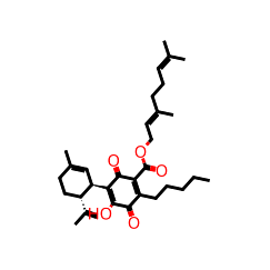 C=C(C)[C@@H]1CCC(C)=C[C@H]1C1=C(O)C(=O)C(CCCCC)=C(C(=O)OC/C=C(\C)CCC=C(C)C)C1=O